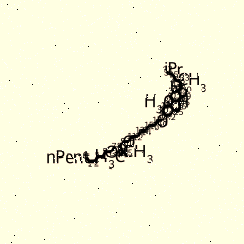 CCCCC/C=C\CCCOC[C@H](COCCCCCCCO[C@H]1CC[C@@]2(C)C(=CC[C@H]3C4CC[C@H]([C@H](C)CCCC(C)C)[C@H]4CCC32)C1)N(C)C